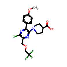 COc1ccc(-c2nc(Cl)c(COCC(F)(F)F)nc2N2CCC(C(=O)O)CC2)cc1